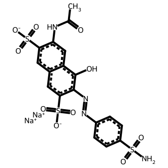 CC(=O)Nc1cc2c(O)c(N=Nc3ccc(S(N)(=O)=O)cc3)c(S(=O)(=O)[O-])cc2cc1S(=O)(=O)[O-].[Na+].[Na+]